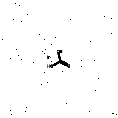 O=C(O)O.[Ir]